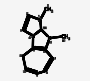 CN1C=CN2C3=C(C=CC=CC3)N(C)C12